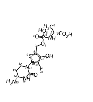 C[C@@H](NP(=O)(O)OCc1sc(N2CC[C@@H](N)NC2=O)c(F)c1O)C(=O)O